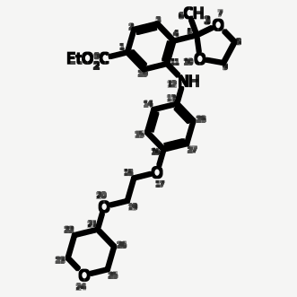 CCOC(=O)c1ccc(C2(C)OCCO2)c(Nc2ccc(OCCOC3CCOCC3)cc2)c1